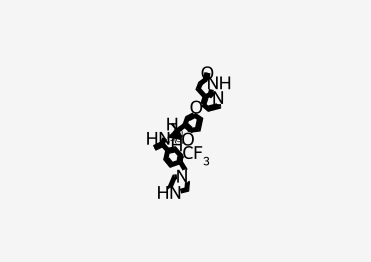 C=C(N[C@@H]1[C@H]2Oc3ccc(Oc4ccnc5c4CCC(=O)N5)cc3[C@@H]12)c1ccc(CN2CCNCC2)c(C(F)(F)F)c1